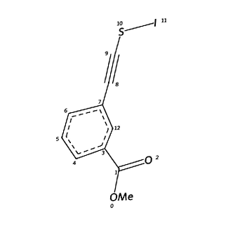 COC(=O)c1cccc(C#CSI)c1